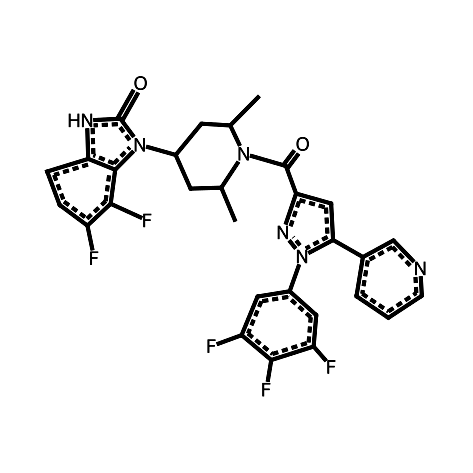 CC1CC(n2c(=O)[nH]c3ccc(F)c(F)c32)CC(C)N1C(=O)c1cc(-c2cccnc2)n(-c2cc(F)c(F)c(F)c2)n1